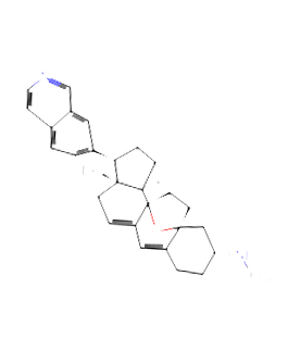 CC(C)(C)N[C@@H]1CCC2=CC3=CC[C@]4(C)[C@@H](c5ccc6ccncc6c5)CC[C@H]4[C@@]34CC[C@]2(C1)O4